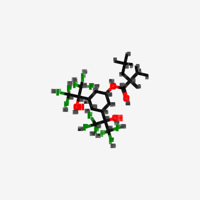 CC(C)C(C)(CC(C)(C)C)C(=O)OC1CC(C(O)(C(F)(F)F)C(F)(F)F)CC(C(O)(C(F)(F)F)C(F)(F)F)C1